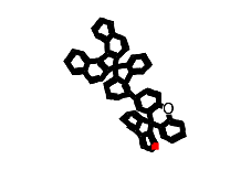 c1ccc2c(c1)Oc1ccc(-c3cccc4c3-c3ccccc3C43c4ccc5ccccc5c4-c4c3ccc3ccccc43)cc1C21c2ccccc2-c2ccccc21